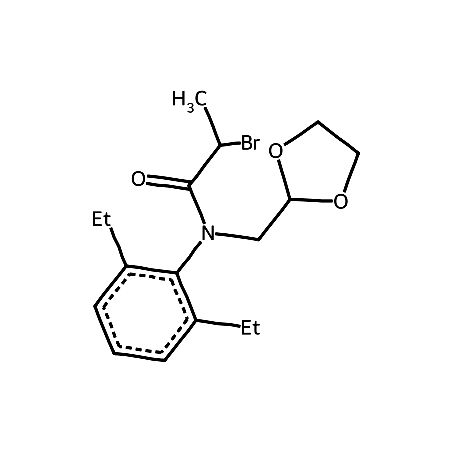 CCc1cccc(CC)c1N(CC1OCCO1)C(=O)C(C)Br